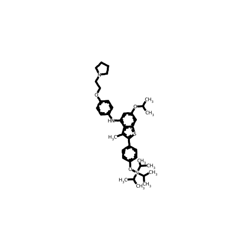 Cc1c(-c2ccc(O[Si](C(C)C)(C(C)C)C(C)C)cc2)sc2cc(OC(C)C)cc(Nc3ccc(OCCN4CCCC4)cc3)c12